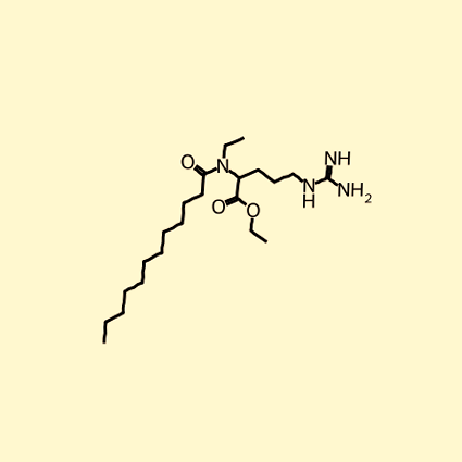 CCCCCCCCCCCC(=O)N(CC)C(CCCNC(=N)N)C(=O)OCC